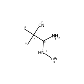 CCCNC(N)C(C)(C)C#N